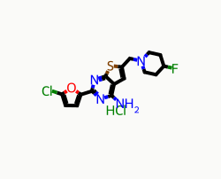 Cl.Nc1nc(-c2ccc(Cl)o2)nc2sc(CN3CCC(F)CC3)cc12